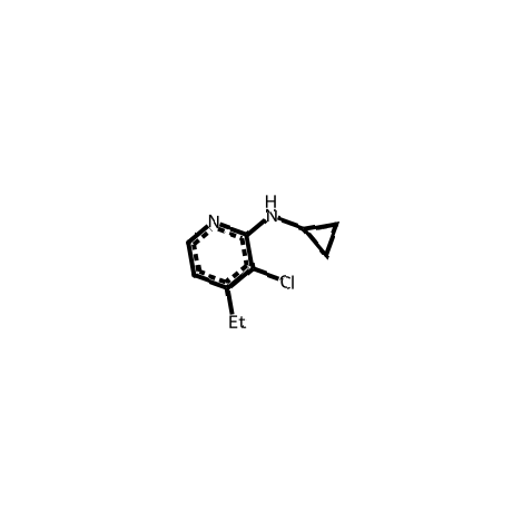 CCc1ccnc(NC2CC2)c1Cl